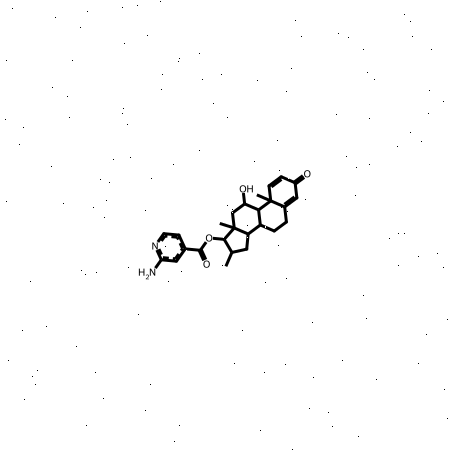 CC1CC2C3CCC4=CC(=O)C=CC4(C)C3C(O)CC2(C)C1OC(=O)c1ccnc(N)c1